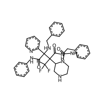 NC(=O)N1CCNCC1C(C(=O)NCc1ccccc1)(C(F)(F)F)C(NCc1ccccc1)(C(=O)Nc1ccccc1)c1ccccn1